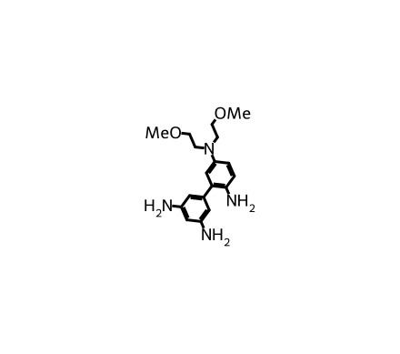 COCCN(CCOC)c1ccc(N)c(-c2cc(N)cc(N)c2)c1